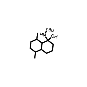 CCCCNC1(O)CCCC2C(C)CCC(C)C21